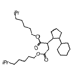 CC(C)CCCCCOC(=O)CC(C(=O)OCCCCCC(C)C)C1CCCC1C1CCCCC1